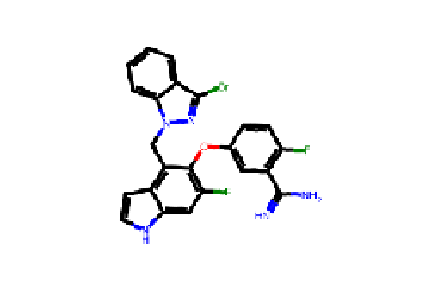 N=C(N)c1cc(Oc2c(F)cc3[nH]ccc3c2Cn2nc(Br)c3ccccc32)ccc1F